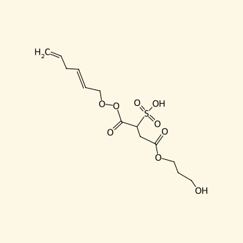 C=CCC=CCOOC(=O)C(CC(=O)OCCCO)S(=O)(=O)O